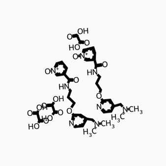 CN(C)Cc1ccnc(OCCCNC(=O)c2ccc[n+]([O-])c2)c1.CN(C)Cc1ccnc(OCCCNC(=O)c2ccc[n+]([O-])c2)c1.O=C(O)C(=O)O.O=C(O)C(=O)O.O=C(O)C(=O)O